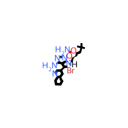 [2H]C([C@H](CC=CC(C)(C)C)OC(N)=O)n1c(Br)c(-c2cnc3ccccc3c2)c2c(N)ncnc21